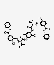 CC(=O)C(N=Nc1cc(C(=O)Oc2ccccc2)ccc1Cl)C(=O)Nc1cc(Cl)c(NC(=O)C(N=Nc2cc(C(=O)Oc3ccccc3)ccc2Cl)C(C)=O)cc1C